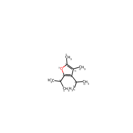 Cc1oc(C(C)C)c(C(C)C)c1C